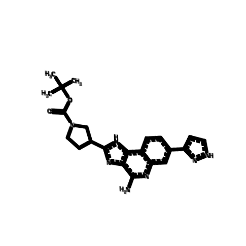 CC(C)(C)OC(=O)N1CCC(c2nc3c(N)nc4cc(-c5cc[nH]n5)ccc4c3[nH]2)C1